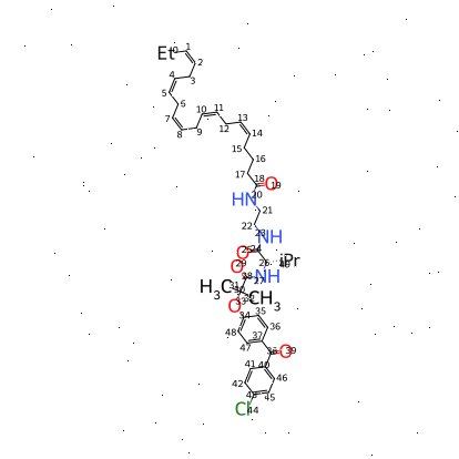 CC/C=C\C/C=C\C/C=C\C/C=C\C/C=C\CCCC(=O)NCCNC(=O)[C@@H](NC(=O)C(C)(C)Oc1ccc(C(=O)c2ccc(Cl)cc2)cc1)C(C)C